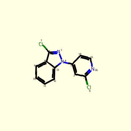 Clc1cc(-n2nc(Cl)c3ccccc32)ccn1